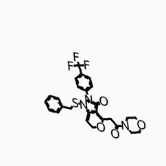 O=C(CC1=c2c(n(SCc3ccccc3)n(-c3ccc(C(F)(F)F)cc3)c2=O)=CCO1)N1CCOCC1